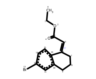 CCOC(=O)/C=C1/CCCc2cc(Br)ccc21